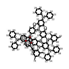 [C-]#[N+]c1ccc2c(c1)B1c3cc4c(cc3Oc3cc(N(c5ccccc5)c5ccccc5)cc(c31)O2)N(c1c(C)cc(C)cc1C)c1cc(N(c2ccccc2)c2ccccc2)cc2c1B4c1cc3c(cc1N2c1c(C)cc(C)cc1C)Oc1cc(N(c2ccccc2)c2ccccc2)cc2c1B3c1cc(C#N)ccc1O2